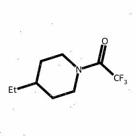 [CH2]CC1CCN(C(=O)C(F)(F)F)CC1